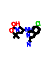 CC(C)(C)C1CC(Nc2nc(C#N)cc3ccc(Cl)cc23)CN1C(=O)O